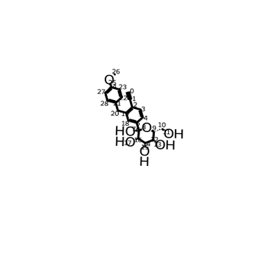 C#Cc1ccc([C@]2(O)O[C@H](CO)[C@@H](O)[C@H](O)[C@H]2O)cc1Cc1ccc(OC)cc1